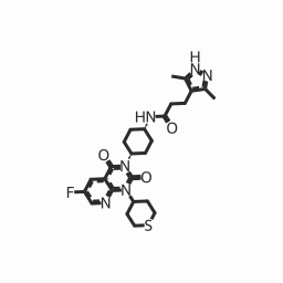 Cc1n[nH]c(C)c1CCC(=O)N[C@H]1CC[C@@H](n2c(=O)c3cc(F)cnc3n(C3CCSCC3)c2=O)CC1